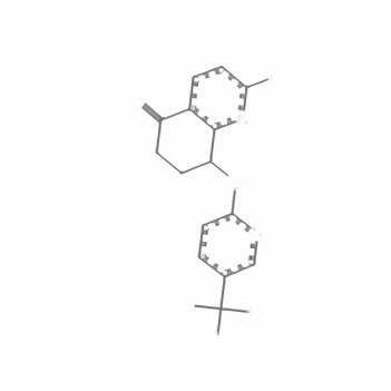 O=C1CCC(Oc2ccc(C(F)(F)F)cn2)c2nc(Cl)ccc21